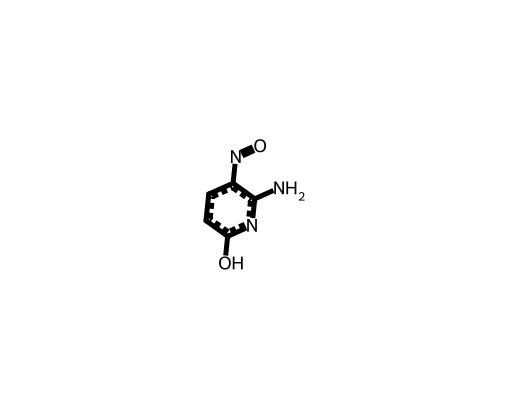 Nc1nc(O)ccc1N=O